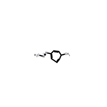 C/N=N/C1=CC=CC(C)C=C1